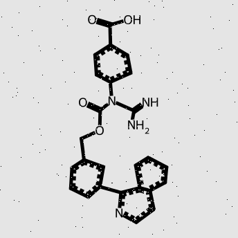 N=C(N)N(C(=O)OCc1cccc(-c2nccc3ccccc23)c1)c1ccc(C(=O)O)cc1